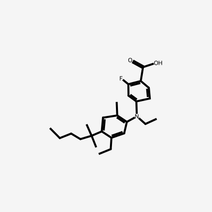 CCCCC(C)(C)c1cc(C)c(N(CC)c2ccc(C(=O)O)c(F)c2)cc1CC